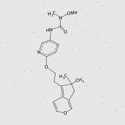 CON(C)C(=O)Nc1ccc(OCCC2=C3C=COC=C3CC2(C)C)nc1